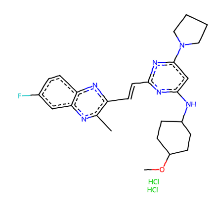 COC1CCC(Nc2cc(N3CCCC3)nc(C=Cc3nc4ccc(F)cc4nc3C)n2)CC1.Cl.Cl